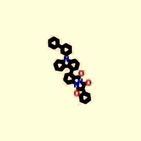 O=c1c2c(-c3cccc4c3c3ccccc3n4-c3cccc(-c4ccccc4)c3)cccc2n2c3oc4ccccc4c3c(=O)n12